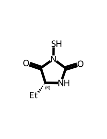 CC[C@H]1NC(=O)N(S)C1=O